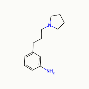 Nc1cccc(CCCN2CCCC2)c1